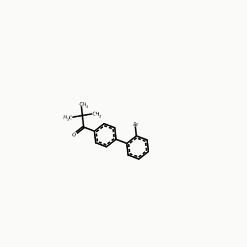 CC(C)(C)C(=O)c1ccc(-c2ccccc2Br)cc1